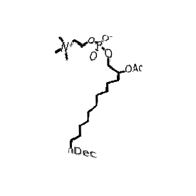 CCCCCCCCCCCCCCCCCCCCC(COP(=O)([O-])OCC[N+](C)(C)C)OC(C)=O